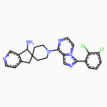 NC1c2cnccc2CC12CCN(c1nccn3c(-c4cccc(Cl)c4Cl)ncc13)CC2